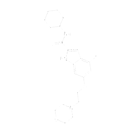 O=C(NC1CCCCC1)c1cc2c(Cl)cc(OCCN3CCOCC3)cc2[nH]1